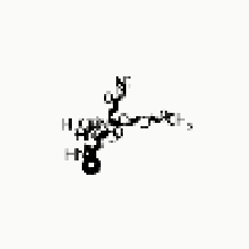 COCCOCCOC(=O)[C@H](CCC(=O)C=[N+]=[N-])NC(=O)C(Cc1c[nH]c2ccccc12)NC(C)=O